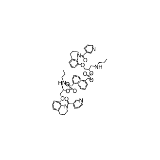 CCCNCC(COc1cccc2c1N(C(=O)c1cccnc1)CCC2)OS(=O)(=O)c1cccc2c(S(=O)(=O)OC(CNCCC)COc3cccc4c3N(C(=O)c3cccnc3)CCC4)cccc12